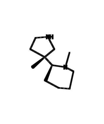 CN1CCCC[C@H]1[C@]1(C)CCNC1